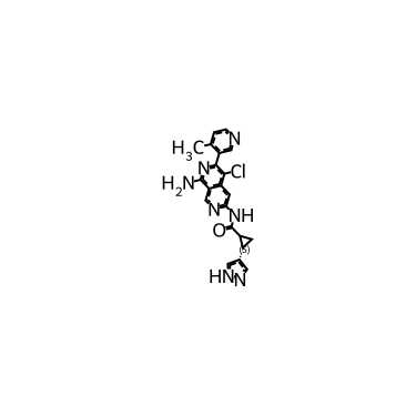 Cc1ccncc1-c1nc(N)c2cnc(NC(=O)C3C[C@@H]3c3cn[nH]c3)cc2c1Cl